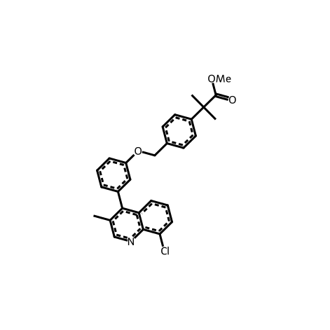 COC(=O)C(C)(C)c1ccc(COc2cccc(-c3c(C)cnc4c(Cl)cccc34)c2)cc1